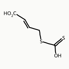 O=C(O)C=CCSC(O)=S